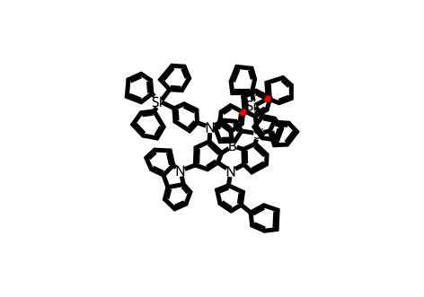 c1ccc(-c2cccc(N3c4cc(-n5c6ccccc6c6ccccc65)cc5c4B(c4cc([Si](c6ccccc6)(c6ccccc6)c6ccccc6)ccc4N5c4ccc([Si](c5ccccc5)(c5ccccc5)c5ccccc5)cc4)c4c3cccc4[Si](c3ccccc3)(c3ccccc3)c3ccccc3)c2)cc1